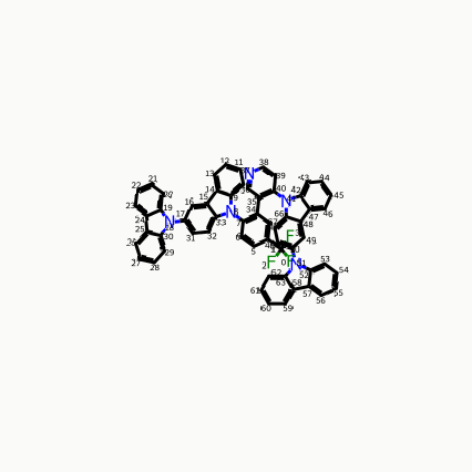 FC(F)(F)c1ccc(-n2c3ccccc3c3cc(-n4c5ccccc5c5ccccc54)ccc32)c(-c2cnccc2-n2c3ccccc3c3cc(-n4c5ccccc5c5ccccc54)ccc32)c1